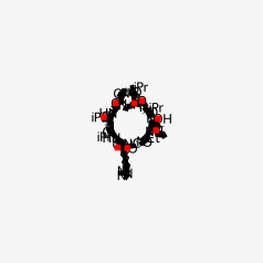 C/C=C/C[C@@H](C)[C@@H](O)[C@@H]1C(=O)N[C@@H](CC)C(=O)N(C)CC(=O)N(C)[C@@H]([C@@H](C)OCCCCn2ncnn2)C(=O)N[C@@H](C(C)C)C(=O)N(C)[C@@H](CC(C)C)C(=O)N[C@@H](C)C(=O)N2C(C)C[C@@H](C(=O)N(C)[C@@H](C(C)C)C(=O)N1C)N(C)C(=O)[C@H](CC(C)C)N(C)C(=O)[C@H]2C